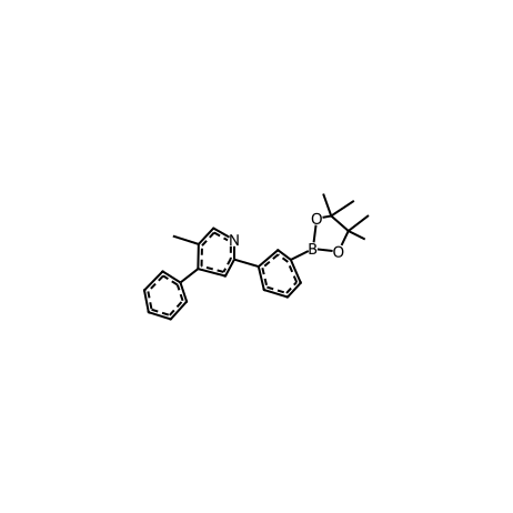 Cc1cnc(-c2cccc(B3OC(C)(C)C(C)(C)O3)c2)cc1-c1ccccc1